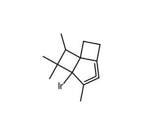 CC1=C=C2CCC23C(C)C(C)(C)[C]13[Ir]